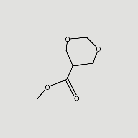 COC(=O)C1COCOC1